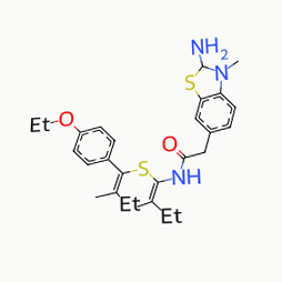 CCOc1ccc(/C(S/C(NC(=O)Cc2ccc3c(c2)SC(N)N3C)=C(\C)CC)=C(\C)CC)cc1